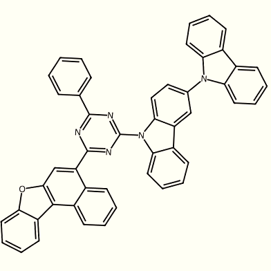 c1ccc(-c2nc(-c3cc4oc5ccccc5c4c4ccccc34)nc(-n3c4ccccc4c4cc(-n5c6ccccc6c6ccccc65)ccc43)n2)cc1